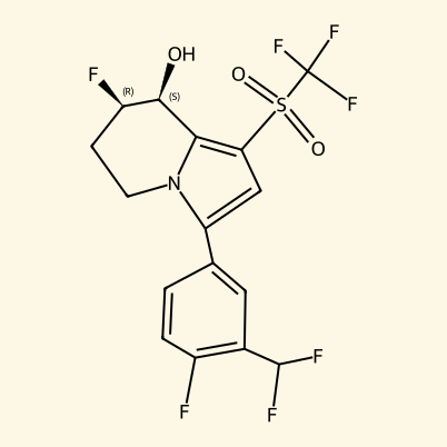 O=S(=O)(c1cc(-c2ccc(F)c(C(F)F)c2)n2c1[C@H](O)[C@H](F)CC2)C(F)(F)F